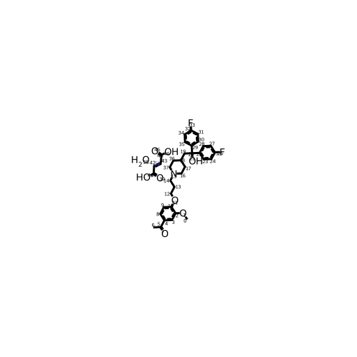 COc1cc(C(C)=O)ccc1OCCCN1CCC(CC(O)(c2ccc(F)cc2)c2ccc(F)cc2)CC1.O.O=C(O)/C=C/C(=O)O